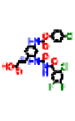 O=C(O)/C=C/c1ccc(NC(=O)Oc2ccc(Cl)cc2)cc1NC(=O)NC(=O)c1cc(F)c(F)cc1Cl